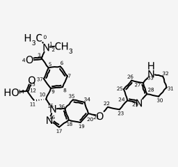 CN(C)C(=O)c1cccc([C@@H](CC(=O)O)n2ncc3cc(OCCc4ccc5c(n4)CCCN5)ccc32)c1